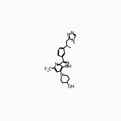 C[C@H](Cc1nncn1C)c1cccc(-c2n[nH]c3c(N4CCC(O)CC4)cc(C(F)(F)F)nc23)c1